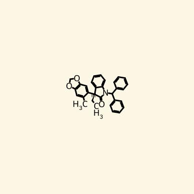 CC[C@]1(c2cc3c(cc2C)OCO3)C(=O)N(C(c2ccccc2)c2ccccc2)c2ccccc21